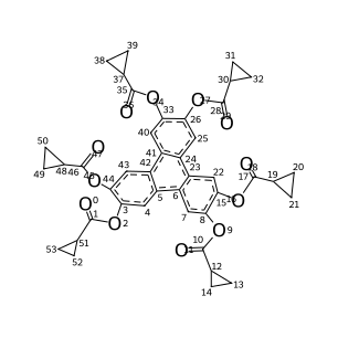 O=C(Oc1cc2c3cc(OC(=O)C4CC4)c(OC(=O)C4CC4)cc3c3cc(OC(=O)C4CC4)c(OC(=O)C4CC4)cc3c2cc1OC(=O)C1CC1)C1CC1